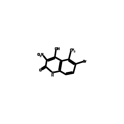 O=c1[nH]c2ccc(Br)c(C(F)(F)F)c2c(O)c1[N+](=O)[O-]